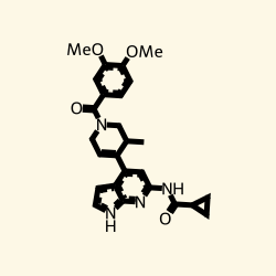 COc1ccc(C(=O)N2CC=C(c3cc(NC(=O)C4CC4)nc4[nH]ccc34)C(C)C2)cc1OC